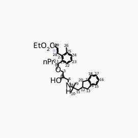 CCC[C@@H](OC[C@H](O)CNC(C)(C)CC1Cc2ccccc2C1)c1cccc(C)c1/C=C/C(=O)OCC